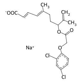 C=C(C)C(CCC(C)=CC=CC(=O)[O-])OC(=O)COc1ccc(Cl)cc1Cl.[Na+]